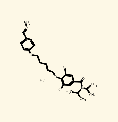 CC(C)N(C(=O)c1cc(Cl)c(OCCCCCOc2ccc(C=NN)cc2)c(Cl)c1)C(C)C.Cl